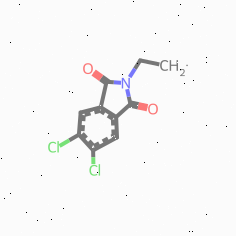 [CH2]CN1C(=O)c2cc(Cl)c(Cl)cc2C1=O